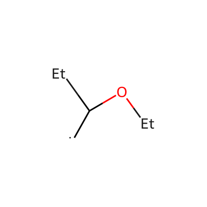 [CH2]CC([CH2])OCC